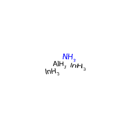 N.[AlH3].[InH3].[InH3]